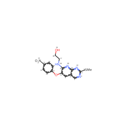 CSc1ncc2cc(Oc3ccc([N+](=O)[O-])cc3)c(NCCO)nc2n1